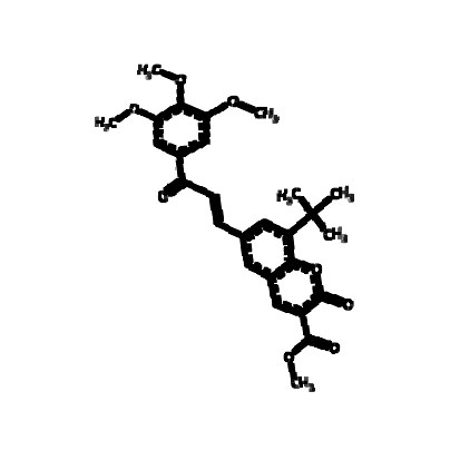 COC(=O)c1cc2cc(C=CC(=O)c3cc(OC)c(OC)c(OC)c3)cc(C(C)(C)C)c2oc1=O